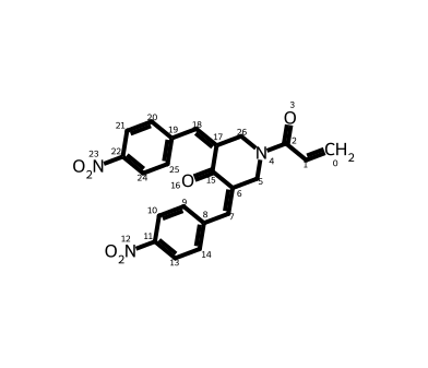 C=CC(=O)N1C/C(=C/c2ccc([N+](=O)[O-])cc2)C(=O)/C(=C\c2ccc([N+](=O)[O-])cc2)C1